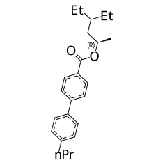 CCCc1ccc(-c2ccc(C(=O)O[C@H](C)CC(CC)CC)cc2)cc1